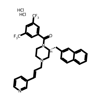 Cl.Cl.O=C(c1cc(C(F)(F)F)cc(C(F)(F)F)c1)N1CCN(CC=Cc2cccnc2)C[C@H]1Cc1ccc2ccccc2c1